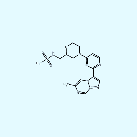 Cc1cn2c(-c3nccc(N4CCOC(CNS(C)(=O)=O)C4)n3)cnc2cn1